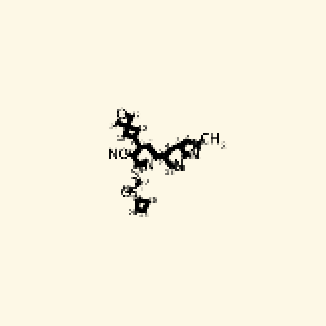 Cn1cc2cc(-c3cc(C4CC5(COC5)C4)c(C#N)c(SC[S@+]([O-])C4CCC4)n3)cnc2n1